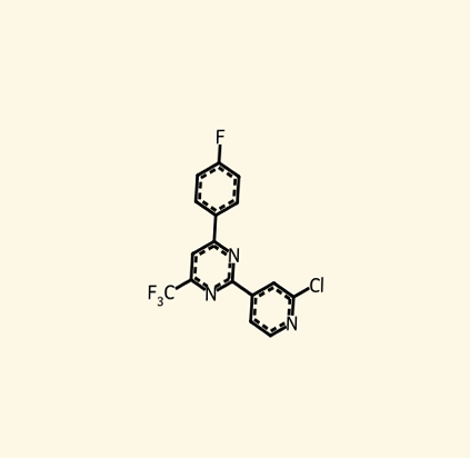 Fc1ccc(-c2cc(C(F)(F)F)nc(-c3ccnc(Cl)c3)n2)cc1